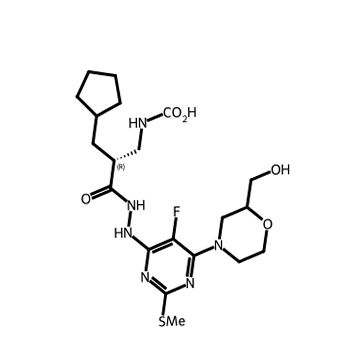 CSc1nc(NNC(=O)[C@@H](CNC(=O)O)CC2CCCC2)c(F)c(N2CCOC(CO)C2)n1